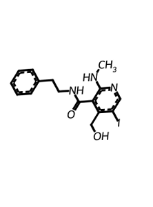 CNc1ncc(I)c(CO)c1C(=O)NCCc1ccccc1